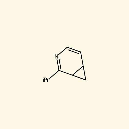 CC(C)C1=NC=CC2CC12